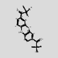 CC(C)(Br)C(=O)c1ccc2c(c1)Sc1cc(C(=O)C(C)(C)Br)ccc1O2